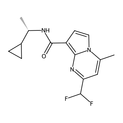 Cc1cc(C(F)F)nc2c(C(=O)N[C@@H](C)C3CC3)ccn12